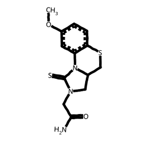 COc1ccc2c(c1)N1C(=S)N(CC(N)=O)CC1CS2